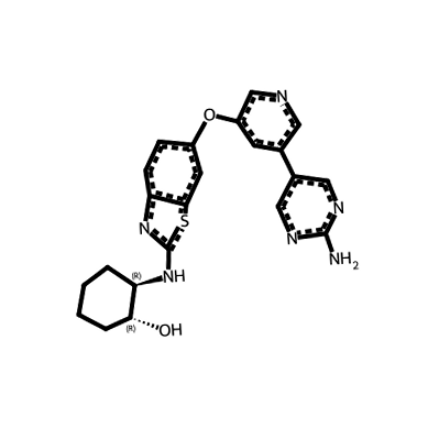 Nc1ncc(-c2cncc(Oc3ccc4nc(N[C@@H]5CCCC[C@H]5O)sc4c3)c2)cn1